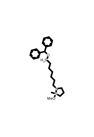 CO[Si]1(C)CCCN1CCCCCC[SiH2]OC(c1ccccc1)c1ccccc1